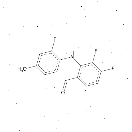 Cc1ccc(Nc2c(C=O)ccc(F)c2F)c(F)c1